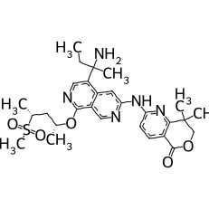 CCC(C)(N)c1cnc(O[C@H](C)C[C@@H](C)S(C)(=O)=O)c2cnc(Nc3ccc4c(n3)C(C)(C)COC4=O)cc12